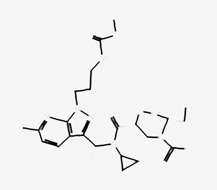 COC(=O)NCCCn1nc([C@@H](C)N(C(=O)[C@H]2CN(C(=O)O)[C@@H](CO)CO2)C2CC2)c2ccc(C)nc21